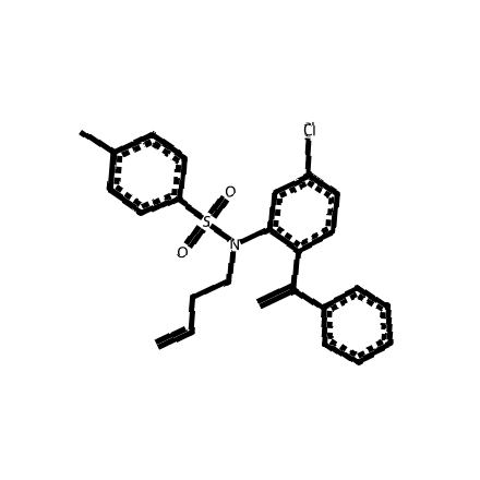 C=CCCN(c1cc(Cl)ccc1C(=C)c1ccccc1)S(=O)(=O)c1ccc(C)cc1